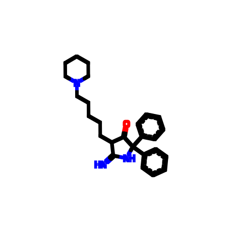 N=C1NC(c2ccccc2)(c2ccccc2)C(=O)C1CCCCCN1CCCCC1